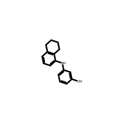 Oc1cccc(Nc2cccc3c2CCCC3)c1